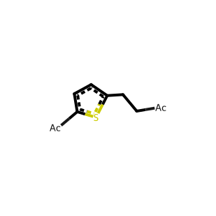 CC(=O)CCc1ccc(C(C)=O)s1